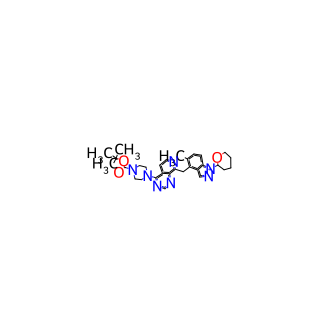 Cc1ccc2c(cnn2C2CCCCO2)c1Cc1nccc2c(N3CCN(C(=O)OC(C)(C)C)CC3)ncnc12